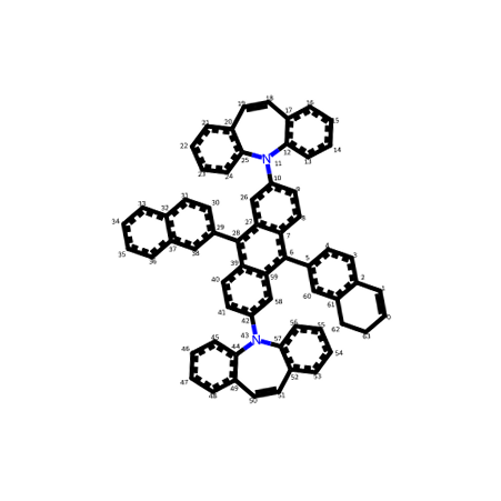 C1=Cc2ccc(-c3c4ccc(N5c6ccccc6C=Cc6ccccc65)cc4c(-c4ccc5ccccc5c4)c4ccc(N5c6ccccc6C=Cc6ccccc65)cc34)cc2CC1